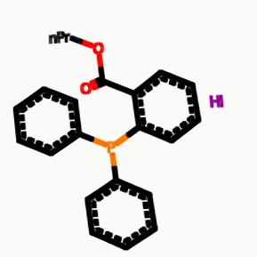 CCCOC(=O)c1ccccc1P(c1ccccc1)c1ccccc1.I